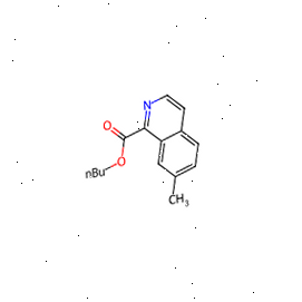 CCCCOC(=O)c1nccc2ccc(C)cc12